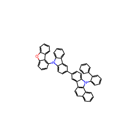 c1ccc(-c2ccccc2-n2c3ccc(-c4ccc5c(c4)c4ccccc4n5-c4cccc5oc6ccccc6c45)cc3c3ccc4ccccc4c32)cc1